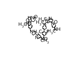 CNc1ccn(-c2ccnc3c2cc([C@H](C)N2CC=C(c4c(C)cc(C(=O)N(C)c5ccc(C6CCN(Cc7ccc8c(c7)n(C)c(=O)n8C7CCC(=O)NC7=O)CC6)nc5)cc4F)CC2)n3C)c(=O)c1